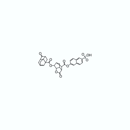 O=C1C2CC3=CC(C(=O)OC4C5CC6C4OC(=O)C6C5C(=O)Oc4ccc5cc(S(=O)(=O)O)ccc5c4)(C2)CC1C3